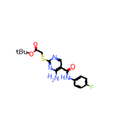 CC(C)(C)OC(=O)CSc1ncc(C(=O)Nc2ccc(F)cc2)c(N)n1